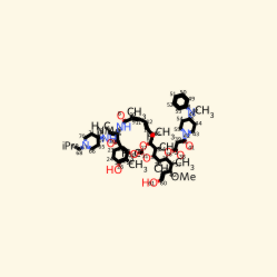 CNC1(NC(C)=C2NC(=O)/C(C)=C\C=C\[C@H](C)[C@@H]3OC(C)(OC4=C(CCC(O)=C4C)C2=O)O[C@@H]([C@@H](C)[C@H](OC(=O)CC(=O)N2CCC(N(C)c4ccccc4)CC2)[C@H](C)[C@H](/C=C/O)OC)[C@@H]3C)CCN(CC(C)C)CC1